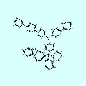 c1ccc(-c2ccc(-c3ccc(N(c4ccc(-c5ccccc5)cc4)c4ccc5c(c4)-c4c(ccc6c4oc4ccccc46)C5(c4ccccc4)c4ccccc4)cc3)cc2)cc1